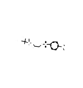 C[C@@H](CNS(=O)(=O)c1ccc([N+](=O)[O-])cc1)O[Si](C)(C)C(C)(C)C